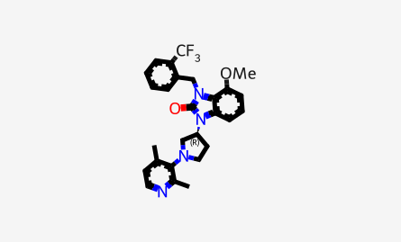 COc1cccc2c1n(Cc1ccccc1C(F)(F)F)c(=O)n2[C@@H]1CCN(c2c(C)ccnc2C)C1